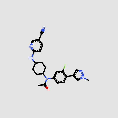 CC(=O)N(c1ccc(-c2cnn(C)c2)c(F)c1)C1CCC(Nc2ccc(C#N)cn2)CC1